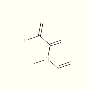 C=CN(C)C(=O)C(=C)N